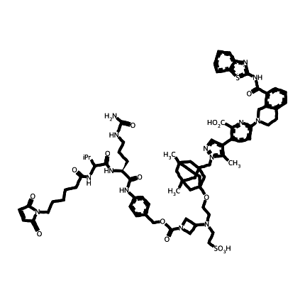 Cc1c(-c2ccc(N3CCc4cccc(C(=O)Nc5nc6ccccc6s5)c4C3)nc2C(=O)O)cnn1CC12CC3(C)CC(C)(C1)CC(OCCN(CCS(=O)(=O)O)C1CN(C(=O)OCc4ccc(NC(=O)[C@H](CCCNC(N)=O)NC(=O)C(NC(=O)CCCCCN5C(=O)C=CC5=O)C(C)C)cc4)C1)(C3)C2